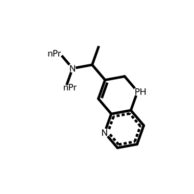 CCCN(CCC)C(C)C1=Cc2ncccc2PC1